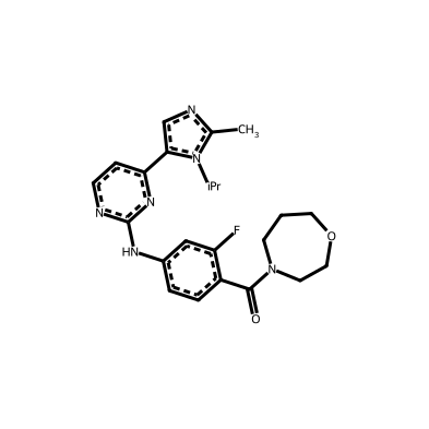 Cc1ncc(-c2ccnc(Nc3ccc(C(=O)N4CCCOCC4)c(F)c3)n2)n1C(C)C